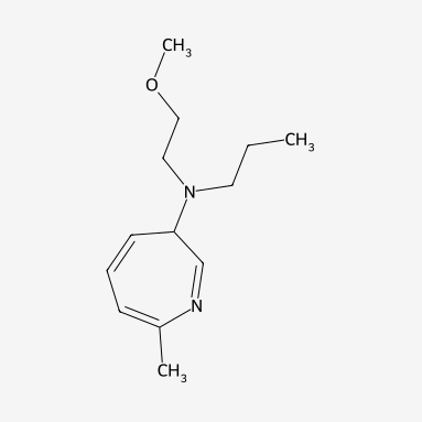 CCCN(CCOC)C1C=CC=C(C)N=C1